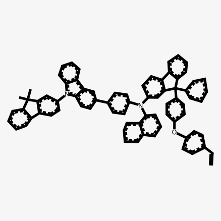 C=Cc1ccc(Oc2ccc(C3(c4ccccc4)c4ccccc4-c4ccc(N(c5ccc(-c6ccc7c(c6)c6ccccc6n7-c6ccc7c(c6)C(C)(C)c6ccccc6-7)cc5)c5cccc6ccccc56)cc43)cc2)cc1